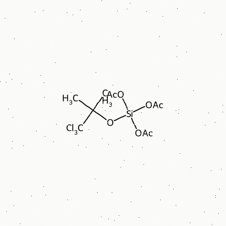 CC(=O)O[Si](OC(C)=O)(OC(C)=O)OC(C)(C)C(Cl)(Cl)Cl